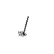 CCCCCC=CC=CCCCCCCCC(O)C(=O)O